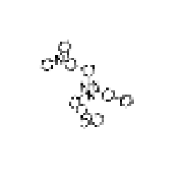 c1ccc(-c2ccc(-c3nc(-c4cccc(-c5ccc6c(c5)c5ccccc5n6-c5ccccc5)c4)nc(-c4cccc5cc6oc7ccccc7c6cc45)n3)cc2)cc1